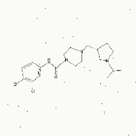 CC(C)N1CC[C@@H](CN2CCN(C(=O)Nc3ccc(Cl)c(Cl)c3)CC2)C1